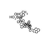 Cc1cccc(OCC(CNC(=O)O)N2C(=O)C3Cc4cccc(OCC(CNC(=O)Cc5ccc6ccc7cccc8ccc5c6c78)N5C(=O)C6C7C=CC(O7)C6C5=O)c4C(O)C3C2=O)c1C=O